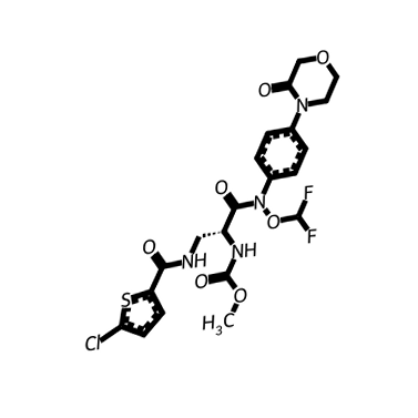 COC(=O)N[C@H](CNC(=O)c1ccc(Cl)s1)C(=O)N(OC(F)F)c1ccc(N2CCOCC2=O)cc1